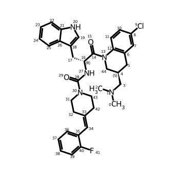 CN(C)C[C@@H]1Cc2cc(Cl)ccc2N(C(=O)[C@@H](Cc2c[nH]c3ccccc23)NC(=O)N2CCC(=Cc3ccccc3F)CC2)C1